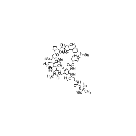 C=C(CCNC(=O)CSC(C)(C)CCCC)Nc1cc(COC(=O)N(C)[C@H](C(=O)C(=C)C(C(=C)C(C)C(C(CC(=O)C2CCCC2C(OC)C(C)C(=O)C[C@H](C)[C@@H](C)c2ccc(CC(C)CCCC)cc2)OC)[C@@H](C)CC)C(C)C)C(C)C)ccc1NC(=O)OC1/C=C/CCCCC1